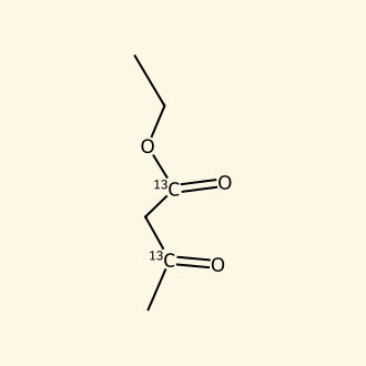 CCO[13C](=O)C[13C](C)=O